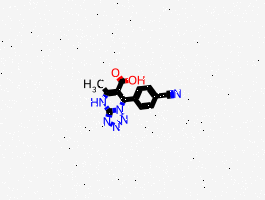 CC1=C(C(=O)O)C(c2ccc(C#N)cc2)n2nnnc2N1